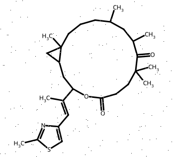 CC(=Cc1csc(C)n1)C1CC2CC2(C)CCCC(C)CC(C)C(=O)C(C)(C)CCC(=O)O1